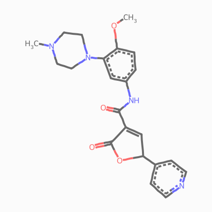 COc1ccc(NC(=O)C2=CC(c3ccncc3)OC2=O)cc1N1CCN(C)CC1